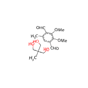 CC(CO)(CO)CO.COc1c(C=O)cc(C)c(C=O)c1OC